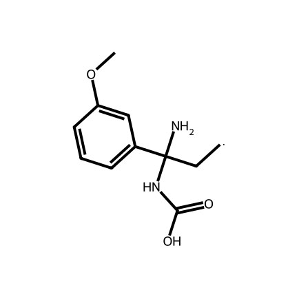 [CH2]CC(N)(NC(=O)O)c1cccc(OC)c1